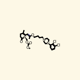 COC(=O)OCN1C(=O)CCC(C)=C1/C=C(\C)OCCCCN1CCN(c2cccc(Cl)c2Cl)CC1